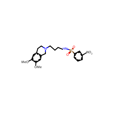 COc1cc2c(cc1OC)CN(CCCCNS(=O)(=O)c1cccc([N+](=O)[O-])c1)CC2